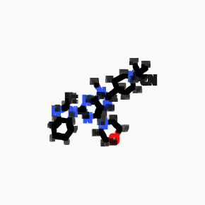 CCc1nc2ccccc2n1-c1nc(N2CCOCC2)c2nc(C3CCN(C(C)(C)C#N)CC3)n(C)c2n1